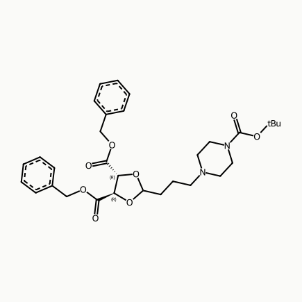 CC(C)(C)OC(=O)N1CCN(CCCC2O[C@@H](C(=O)OCc3ccccc3)[C@H](C(=O)OCc3ccccc3)O2)CC1